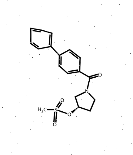 CS(=O)(=O)O[C@@H]1CCN(C(=O)c2ccc(-c3ccccc3)cc2)C1